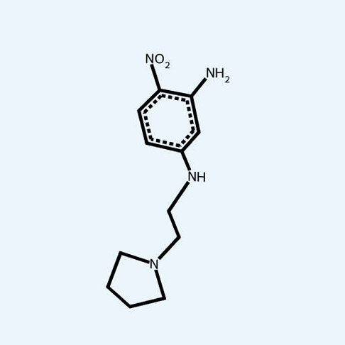 Nc1cc(NCCN2CCCC2)ccc1[N+](=O)[O-]